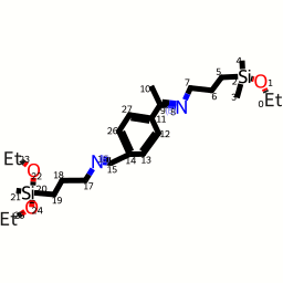 CCO[Si](C)(C)CCC/N=C(\C)c1ccc(/C=N/CCC[Si](C)(OCC)OCC)cc1